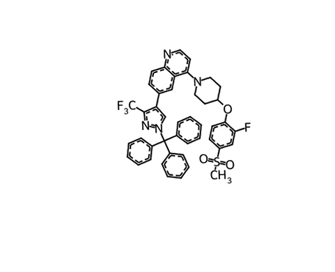 CS(=O)(=O)c1ccc(OC2CCN(c3ccnc4ccc(-c5cn(C(c6ccccc6)(c6ccccc6)c6ccccc6)nc5C(F)(F)F)cc34)CC2)c(F)c1